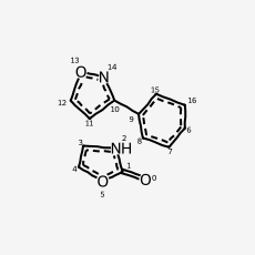 O=c1[nH]cco1.c1ccc(-c2ccon2)cc1